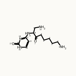 NCCCCCC(=O)C(CN)Nc1cc[nH]c(=O)n1